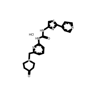 Cl.O=C1CCN(Cc2cccc(NC(=O)Nc3csc(-c4ccncc4)n3)n2)CC1